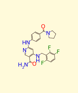 NC(=O)c1cnc(Nc2ccc(C(=O)N3CCCC3)cc2)cc1NCc1c(F)ccc(F)c1F